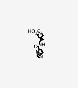 O=C(NCC1CC12CCN(C(=O)O)CC2)c1ccc2nccn2n1